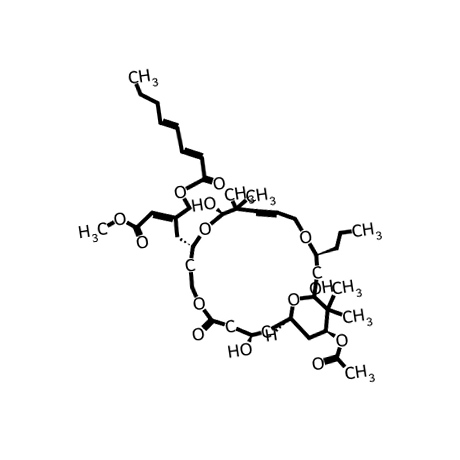 CCC/C=C/C=C/C(=O)OC/C(=C/C(=O)OC)C[C@H]1CCOC(=O)C[C@H](O)C[C@@H]2C[C@H](OC(C)=O)C(C)(C)[C@](O)(C[C@H](CCC)OC/C=C/C(C)(C)[C@H](O)O1)O2